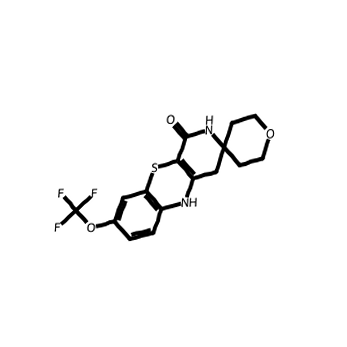 O=C1NC2(CCOCC2)CC2=C1Sc1cc(OC(F)(F)F)ccc1N2